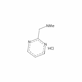 CNCc1ncccn1.Cl